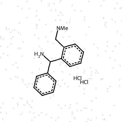 CNCc1ccccc1C(N)c1ccccc1.Cl.Cl